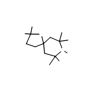 CC1(C)CCC2(CC(C)(C)N(O)C(C)(C)C2)O1